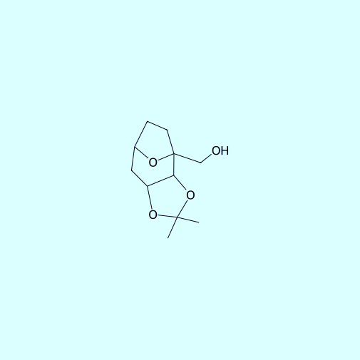 CC1(C)OC2CC3CCC(CO)(O3)C2O1